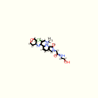 C=N/C=C(Cl)\C(=N/C1CCOCC1)c1ccc2c(n1)C(=O)N(CC(=O)NCCO)C2